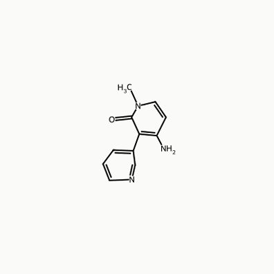 Cn1ccc(N)c(-c2cccnc2)c1=O